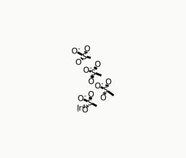 CS(=O)(=O)[O-].CS(=O)(=O)[O-].CS(=O)(=O)[O-].CS(=O)(=O)[O-].[Ir+4]